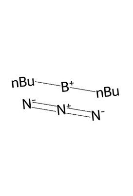 CCCC[B+]CCCC.[N-]=[N+]=[N-]